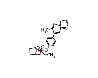 CCC(=O)N1C2CCC1CC(Oc1ccc(-c3cc4ncccc4cc3C)cc1)C2